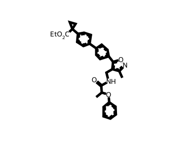 CCOC(=O)C1(c2ccc(-c3ccc(-c4onc(C)c4CNC(=O)C(C)Oc4ccccc4)cc3)cc2)CC1